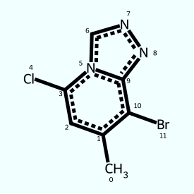 Cc1cc(Cl)n2cnnc2c1Br